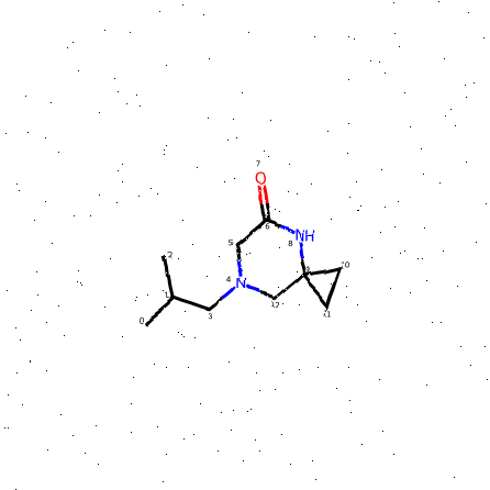 CC(C)CN1CC(=O)NC2(CC2)C1